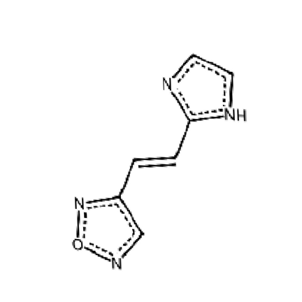 C(=C\c1ncc[nH]1)/c1cnon1